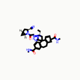 CC[C@H](CC1(c2nnn[nH]2)c2ccc(C(=O)NC)cc2CCc2cc(C(=O)NC)ccc21)NCC(=O)N1[C@H](C#N)C[C@@H]2C[C@@H]21